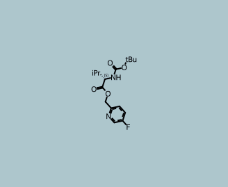 CC(C)[C@H](NC(=O)OC(C)(C)C)C(=O)OCc1ccc(F)cn1